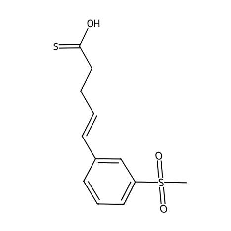 CS(=O)(=O)c1cccc(/C=C/CCC(O)=S)c1